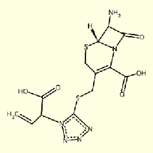 C=CC(C(=O)O)n1nnnc1SCC1=C(C(=O)O)N2C(=O)C(N)[C@H]2SC1